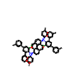 Cc1ccc(N(c2c(F)cc(-c3cccc(C)c3)cc2-c2cccc(C)c2)c2ccc3ccc4c(N(c5ccc(C)cc5)c5c(F)cc(-c6cccc(C)c6)cc5-c5cccc(C)c5)ccc5ccc2c3c54)cc1